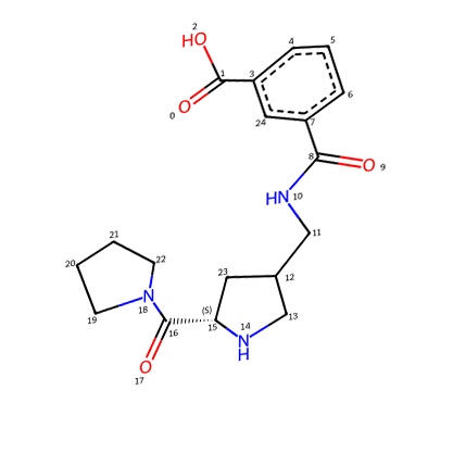 O=C(O)c1cccc(C(=O)NCC2CN[C@H](C(=O)N3CCCC3)C2)c1